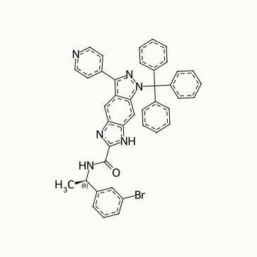 C[C@@H](NC(=O)c1nc2cc3c(-c4ccncc4)nn(C(c4ccccc4)(c4ccccc4)c4ccccc4)c3cc2[nH]1)c1cccc(Br)c1